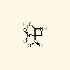 CC1NCC1([N+](=O)[O-])[N+](=O)[O-]